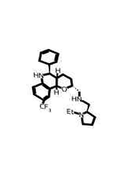 CCN1CCC[C@@H]1CNC[C@H]1CC[C@@H]2[C@H](O1)c1cc(C(F)(F)F)ccc1N[C@H]2C1C=CC=CC1